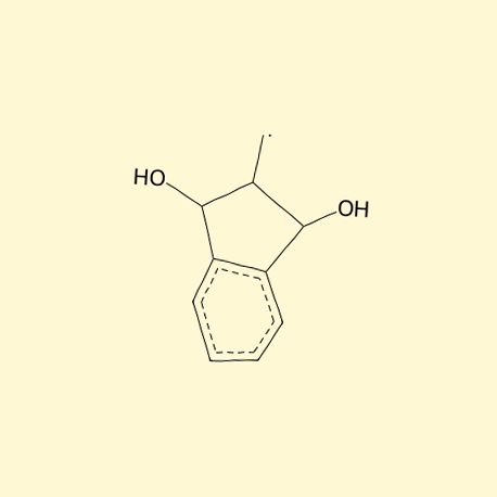 [CH2]C1C(O)c2ccccc2C1O